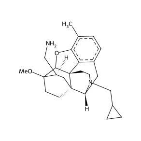 COC12CC[C@@]3(C[C@@H]1CN)[C@H]1Cc4ccc(C)c5c4[C@@]3(CCN1CC1CC1)C2O5